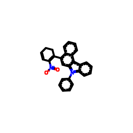 O=[N+]([O-])C1=C(c2cc3c(c4ccccc24)c2ccccc2n3-c2ccccc2)CCC=C1